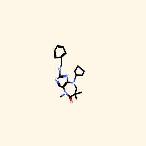 CN1C(=O)C(C)(C)CN(C2CCCC2)c2nc(NCc3ccccc3)ncc21